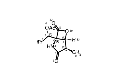 CC(=O)O[C@@H](C(C)C)[C@@]12NC(=O)[C@H](C)[C@@H]1OC2=O